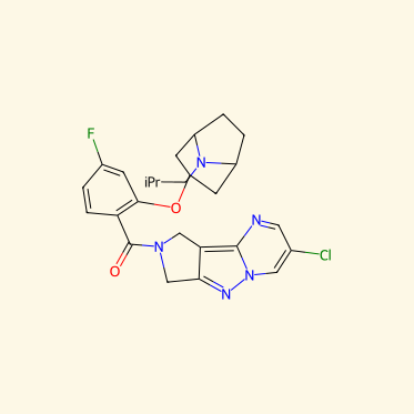 CC(C)CN1C2CCC1CC(Oc1cc(F)ccc1C(=O)N1Cc3nn4cc(Cl)cnc4c3C1)C2